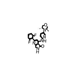 C[C@@H]1COC[C@@H](C)N1c1ccc(Nc2cc(-c3c(F)cccc3F)nc3c2C(=O)NC3)nc1